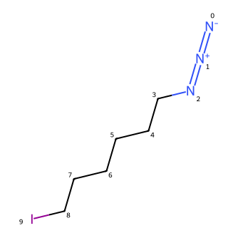 [N-]=[N+]=NCCCCCCI